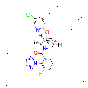 O=C(c1cccc(F)c1-n1nccn1)N1C[C@@H]2CC[C@H]1[C@H](Oc1ccc(Cl)cn1)C2